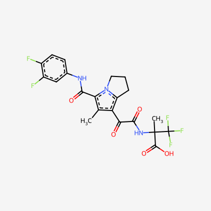 Cc1c(C(=O)C(=O)NC(C)(C(=O)O)C(F)(F)F)c2n(c1C(=O)Nc1ccc(F)c(F)c1)CCC2